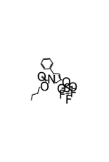 CCCCOC(=O)N1CC(OS(=O)(=O)C(F)(F)F)=CC1c1ccccc1